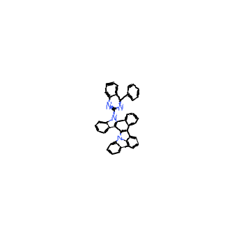 c1ccc(-c2nc(-n3c4ccccc4c4c3c3ccccc3c3c5cccc6c7ccccc7n(c65)c34)nc3ccccc23)cc1